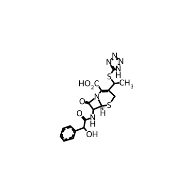 CC(Sc1nnn[nH]1)C1=C(C(=O)O)N2C(=O)C(NC(=O)C(O)c3ccccc3)[C@@H]2SC1